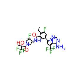 CCc1c(F)cc(-c2cc(C(F)(F)F)c3c(N)ncnn23)cc1C(=O)N[C@@H]1CN(C(=O)C(C)(O)C(F)(F)F)C[C@@H]1F